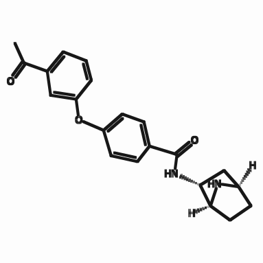 CC(=O)c1cccc(Oc2ccc(C(=O)N[C@@H]3C[C@H]4CC[C@@H]3N4)cc2)c1